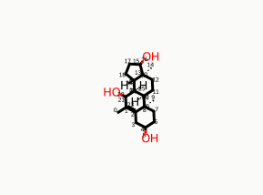 CC1=C2CC(O)CC[C@]2(C)[C@@H]2CC[C@]3(C)C(O)CC[C@H]3[C@@H]2C1O